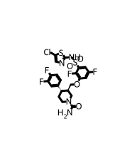 NC(=O)N1CC[C@H](c2ccc(F)c(F)c2)[C@@H](COc2cc(F)cc(S(=O)(=O)Nc3ncc(Cl)s3)c2F)C1